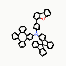 c1ccc2c(c1)-c1ccccc1-c1ccc(N(c3ccc(-c4cccc5c4oc4ccccc45)cc3)c3ccc4c(c3)C3(c5ccccc5-c5ccccc53)c3ccccc3-4)cc1-c1ccccc1-2